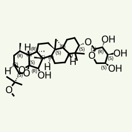 COC(C)(C)[C@H]1O[C@@]23O[C@@H]1C[C@@H](C)[C@@H]2[C@@]1(C)CC[C@@]24C[C@@]25CC[C@H](O[C@@H]2OC[C@H](O)[C@H](O)[C@H]2O)C(C)(C)[C@@H]5CC[C@H]4[C@]1(C)[C@H]3O